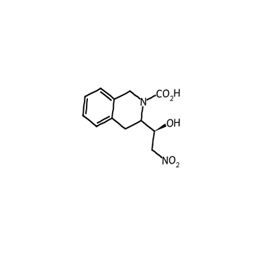 O=C(O)N1Cc2ccccc2CC1[C@@H](O)C[N+](=O)[O-]